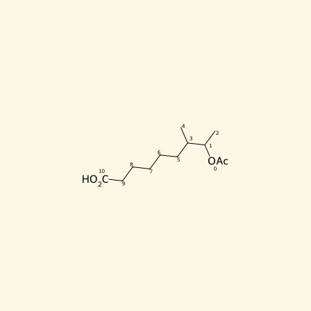 CC(=O)OC(C)C(C)CCCCCC(=O)O